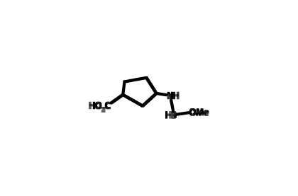 COBNC1CCC(C(=O)O)C1